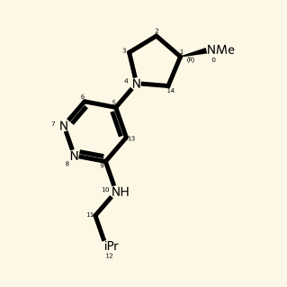 CN[C@@H]1CCN(c2cnnc(NCC(C)C)c2)C1